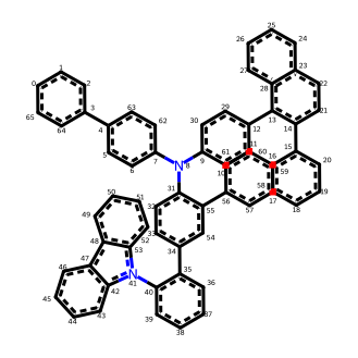 c1ccc(-c2ccc(N(c3ccc(-c4c(-c5ccccc5)ccc5ccccc45)cc3)c3ccc(-c4ccccc4-n4c5ccccc5c5ccccc54)cc3-c3ccccc3)cc2)cc1